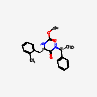 Cc1ccccc1C[C@H](NC(=O)OC(C)(C)C)C(=O)N[C@H]([C]=O)c1ccccc1